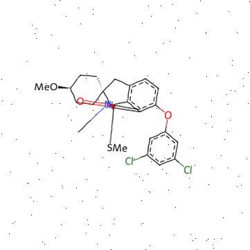 CO[C@H]1CC[C@]2(CC1)Cc1ccc(Oc3cc(Cl)cc(Cl)c3)cc1C21N=C(SC)N(C)C1=O